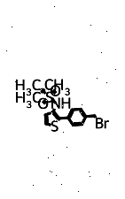 CC(C)(C)S(=O)(=O)Nc1ccsc1-c1ccc(CBr)cc1